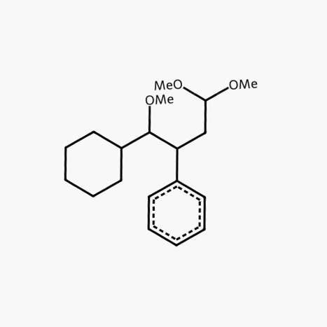 COC(CC(c1ccccc1)C(OC)C1CCCCC1)OC